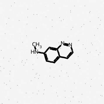 CNc1ccc2ccnnc2c1